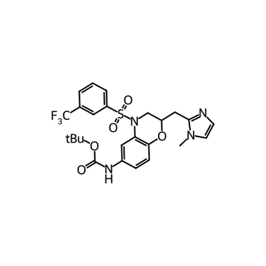 Cn1ccnc1CC1CN(S(=O)(=O)c2cccc(C(F)(F)F)c2)c2cc(NC(=O)OC(C)(C)C)ccc2O1